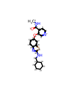 CNC(=O)c1ccncc1Oc1ccc2nc(NCC3CCCCC3)sc2c1